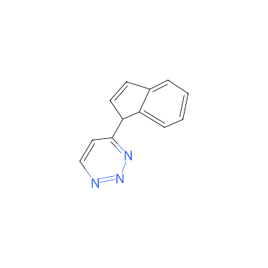 C1=CC(c2ccnnn2)c2ccccc21